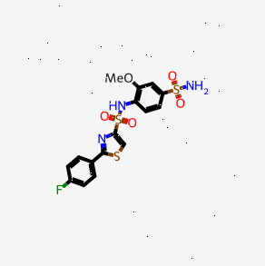 COc1cc(S(N)(=O)=O)ccc1NS(=O)(=O)c1csc(-c2ccc(F)cc2)n1